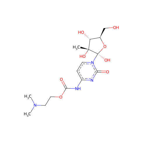 CN(C)CCOC(=O)Nc1ccn([C@]2(O)O[C@H](CO)[C@@H](O)[C@@]2(C)O)c(=O)n1